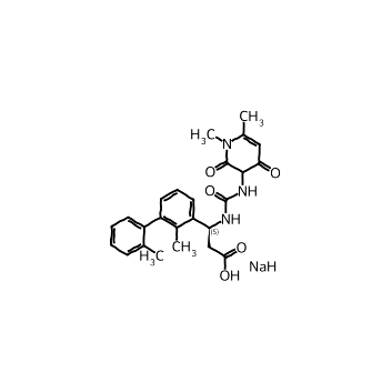 CC1=CC(=O)C(NC(=O)N[C@@H](CC(=O)O)c2cccc(-c3ccccc3C)c2C)C(=O)N1C.[NaH]